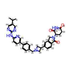 CC(C)c1cnc(Nc2ccc(-c3ccc(CN4CC(c5ccc6c(c5)CN(C5CCC(=O)NC5=O)C6=O)C4)cc3)cn2)nc1